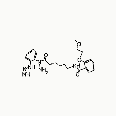 COCCOc1ccccc1C(=O)NCCCCCC(=O)N(N)c1ccccc1NN=N